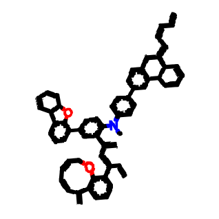 C=C/C=C\C=C1/Cc2ccc(-c3ccc(N(C)c4ccc(-c5cccc6c5OC5C=CC=CC65)cc4C(=C)/C=C(\C=C)c4cccc5c4OC/C=C\C=C/C5=C)cc3)cc2C2C=CC=CC12